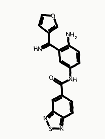 N=C(c1ccoc1)c1cc(NC(=O)c2ccc3nsnc3c2)ccc1N